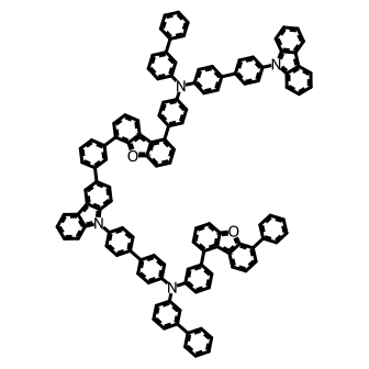 c1ccc(-c2cccc(N(c3ccc(-c4ccc(-n5c6ccccc6c6ccccc65)cc4)cc3)c3ccc(-c4cccc5oc6c(-c7cccc(-c8ccc9c(c8)c8ccccc8n9-c8ccc(-c9ccc(N(c%10cccc(-c%11ccccc%11)c%10)c%10cccc(-c%11cccc%12oc%13c(-c%14ccccc%14)cccc%13c%11%12)c%10)cc9)cc8)c7)cccc6c45)cc3)c2)cc1